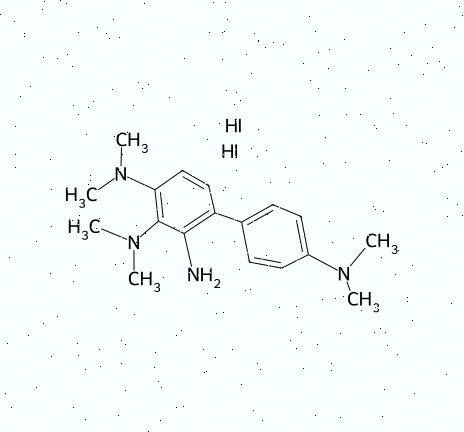 CN(C)c1ccc(-c2ccc(N(C)C)c(N(C)C)c2N)cc1.I.I